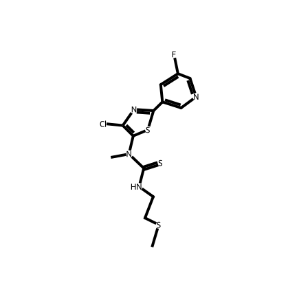 CSCCNC(=S)N(C)c1sc(-c2cncc(F)c2)nc1Cl